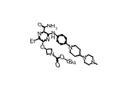 CCc1nc(C(N)=O)c(Nc2ccc(N3CCC(N4CCN(C)CC4)CC3)cc2)nc1OC1CN(C(=O)OC(C)(C)C)C1